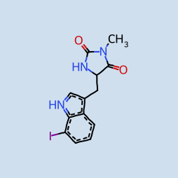 CN1C(=O)NC(Cc2c[nH]c3c(I)cccc23)C1=O